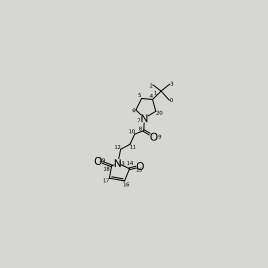 CC(C)(C)C1CCN(C(=O)CCCN2C(=O)C=CC2=O)C1